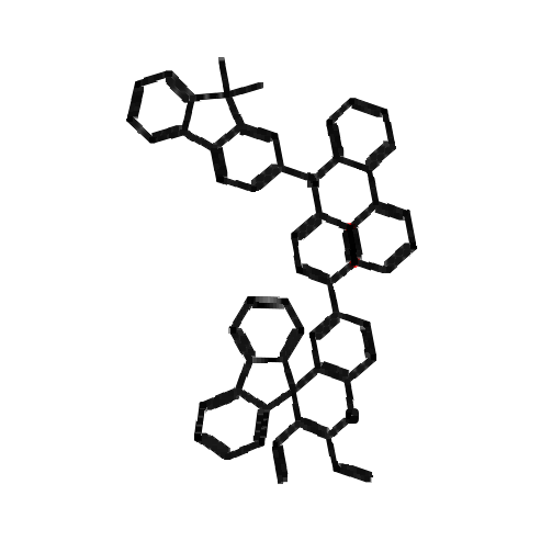 C=CC1=C(C=C)C2(c3cc(-c4ccc(N(c5ccc6c(c5)C(C)(C)c5ccccc5-6)c5ccccc5-c5ccccc5)cc4)ccc3O1)c1ccccc1-c1ccccc12